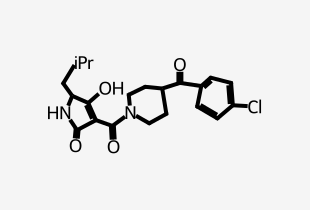 CC(C)CC1NC(=O)C(C(=O)N2CCC(C(=O)c3ccc(Cl)cc3)CC2)=C1O